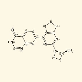 C[C@H]1CCN1c1nc2c(c(-c3ccc4c(=O)[nH]cnc4c3)n1)CCC2